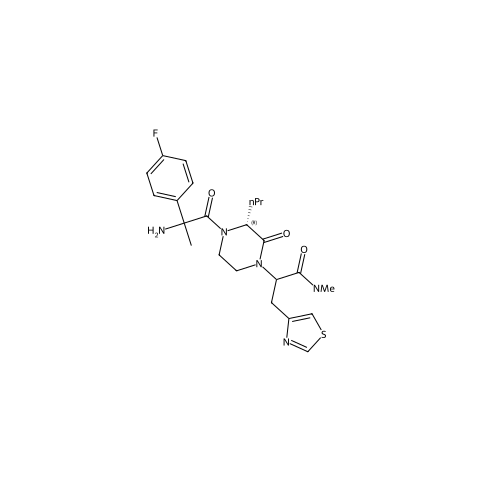 CCC[C@@H]1C(=O)N(C(Cc2cscn2)C(=O)NC)CCN1C(=O)C(C)(N)c1ccc(F)cc1